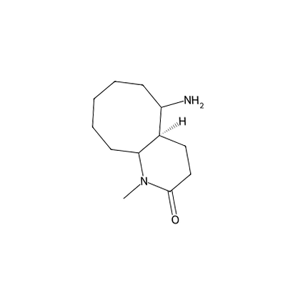 CN1C(=O)CC[C@@H]2C(N)CCCCCC21